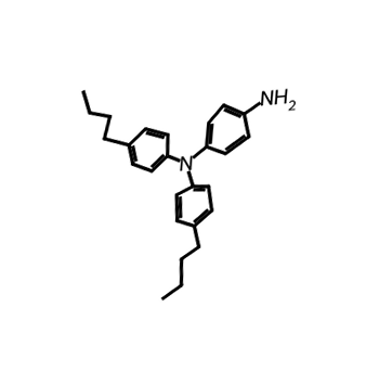 CCCCc1ccc(N(c2ccc(N)cc2)c2ccc(CCCC)cc2)cc1